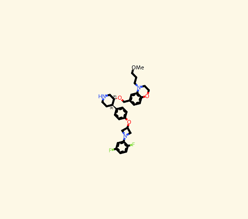 COCCCN1CCOc2ccc(CO[C@H]3CNCC[C@@H]3c3ccc(OC4CN(c5cc(F)ccc5F)C4)cc3)cc21